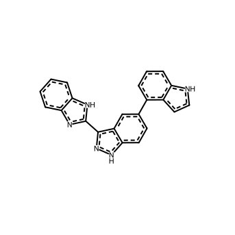 c1ccc2[nH]c(-c3n[nH]c4ccc(-c5cccc6[nH]ccc56)cc34)nc2c1